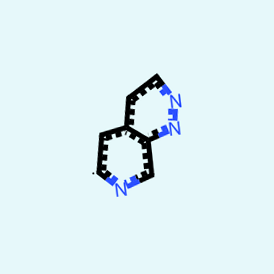 [c]1cc2ccnnc2cn1